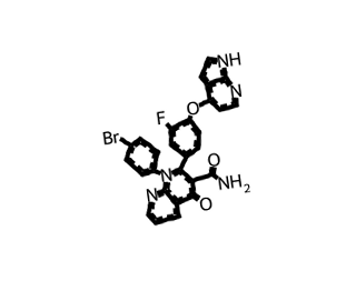 NC(=O)c1c(-c2ccc(Oc3ccnc4[nH]ccc34)c(F)c2)n(-c2ccc(Br)cc2)c2ncccc2c1=O